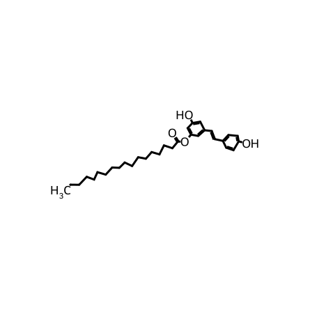 CCCCCCCCCCCCCCCCCC(=O)Oc1cc(O)cc(/C=C/c2ccc(O)cc2)c1